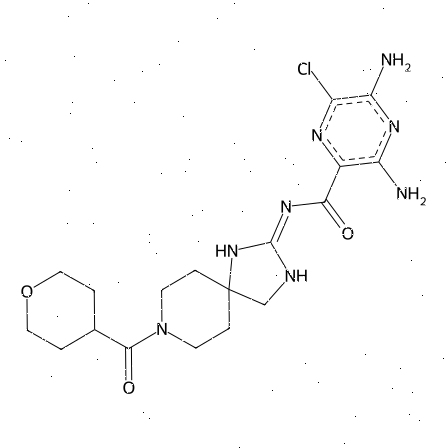 Nc1nc(N)c(C(=O)/N=C2\NCC3(CCN(C(=O)C4CCOCC4)CC3)N2)nc1Cl